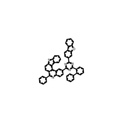 c1ccc(-c2ccccc2-c2nc(-c3ccc4c(c3)oc3ccccc34)nc(-c3ccc4nc(-c5ccccc5)c5ccc6sc7ccccc7c6c5c4c3)n2)cc1